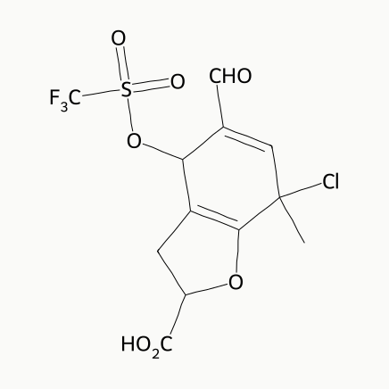 CC1(Cl)C=C(C=O)C(OS(=O)(=O)C(F)(F)F)C2=C1OC(C(=O)O)C2